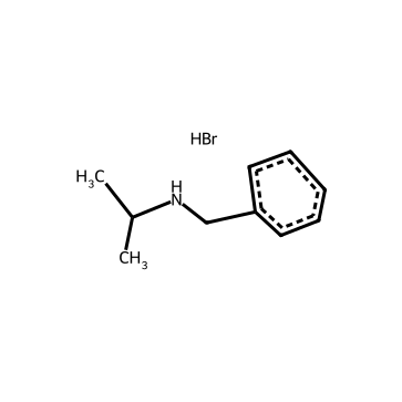 Br.CC(C)NCc1ccccc1